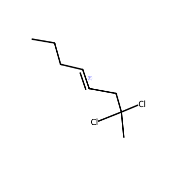 CCC/C=C/CC(C)(Cl)Cl